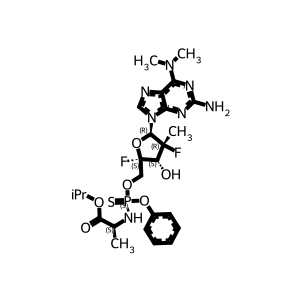 CC(C)OC(=O)[C@H](C)N[P@](=S)(OC[C@@]1(F)O[C@@H](n2cnc3c(N(C)C)nc(N)nc32)[C@](C)(F)[C@@H]1O)Oc1ccccc1